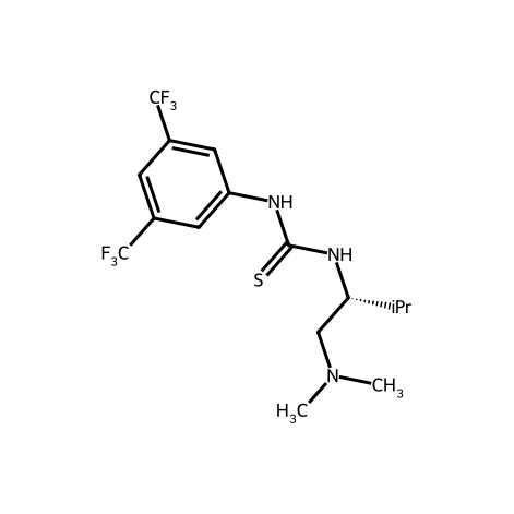 CC(C)[C@H](CN(C)C)NC(=S)Nc1cc(C(F)(F)F)cc(C(F)(F)F)c1